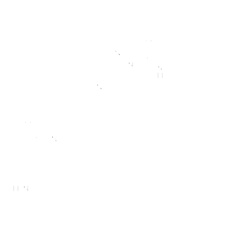 NC[C@H]1CN(c2ccc(N3CCNN(C(=O)NCc4ccccc4)CC3)c(F)c2)C(=O)O1